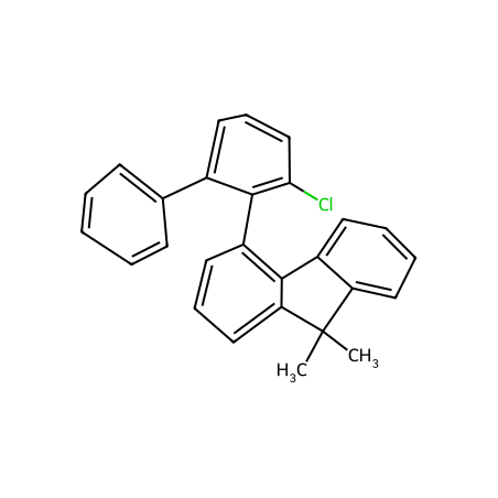 CC1(C)c2ccccc2-c2c(-c3c(Cl)cccc3-c3ccccc3)cccc21